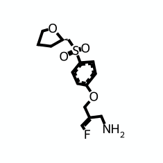 NC/C(=C\F)COc1ccc(S(=O)(=O)C[C@@H]2CCCO2)cc1